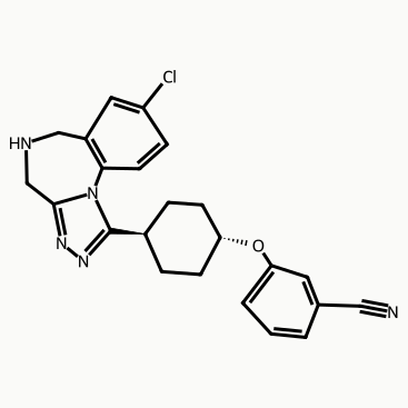 N#Cc1cccc(O[C@H]2CC[C@H](c3nnc4n3-c3ccc(Cl)cc3CNC4)CC2)c1